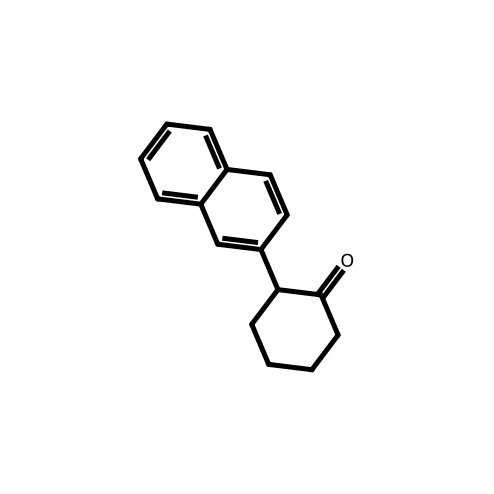 O=C1CCCCC1c1ccc2ccccc2c1